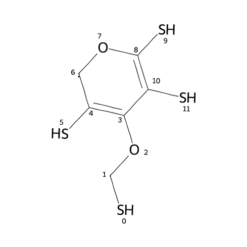 SCOC1=C(S)[CH]OC(S)=C1S